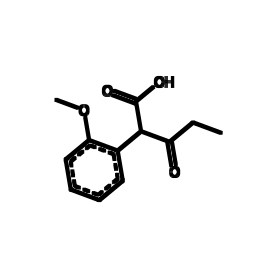 CCC(=O)C(C(=O)O)c1ccccc1OC